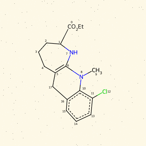 CCOC(=O)C1CCCC2=C(N1)N(C)c1c(Cl)cccc1C2